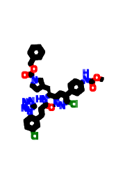 COC(=O)Nc1ccc(-c2cc([C@H](CC3CCN(C(=O)OCc4ccccc4)C3)NC(=O)C=Cc3cc(Cl)ccc3-n3cnnn3)nnc2Cl)cc1